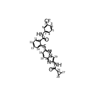 O=C(Nc1cccc(C(F)(F)F)c1)c1ccccc1Sc1ccc2nc(NC(=O)C3CC3)cn2n1